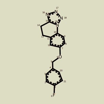 Fc1ccc(COc2ccc3c(c2)CCc2nnnn2-3)cc1